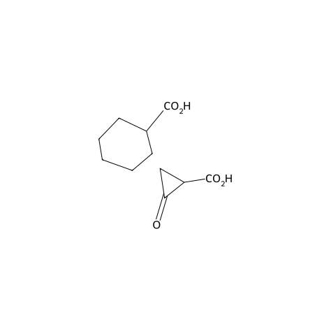 O=C(O)C1CC1=O.O=C(O)C1CCCCC1